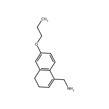 CCCOc1ccc2c(c1)CCC=C2CN